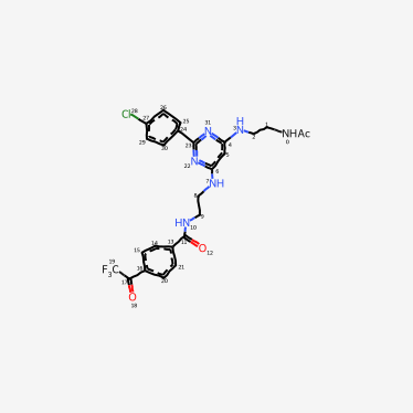 CC(=O)NCCNc1cc(NCCNC(=O)c2ccc(C(=O)C(F)(F)F)cc2)nc(-c2ccc(Cl)cc2)n1